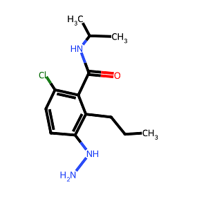 CCCc1c(NN)ccc(Cl)c1C(=O)NC(C)C